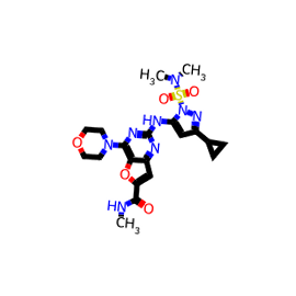 CNC(=O)c1cc2nc(Nc3cc(C4CC4)nn3S(=O)(=O)N(C)C)nc(N3CCOCC3)c2o1